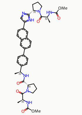 COC(=O)N[C@@H](C)C(=O)N1CCC[C@H]1C(=O)N[C@@H](C)c1ccc(-c2ccc3cc(-c4cnc([C@@H]5CCCN5C(=O)[C@H](C)NC(=O)OC)[nH]4)ccc3c2)cc1